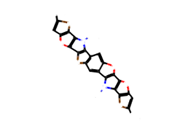 Cc1cc2oc3c4oc5cc6c(cc5c4n(C)c3c2s1)sc1c2oc3cc(C)sc3c2n(C)c61